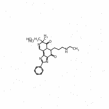 CCNCCCC1C(=O)C2=NC(c3ccccc3)=NC2=C2C=NC(C)(C)C(=O)C21.Cl.Cl